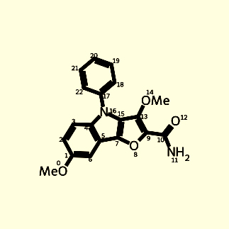 COc1ccc2c(c1)c1oc(C(N)=O)c(OC)c1n2-c1ccccc1